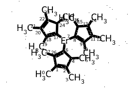 CC1=C(C)C(C)[C]([Er]([C]2=C(C)C(C)=C(C)C2C)[C]2=C(C)C(C)=C(C)C2C)=C1C